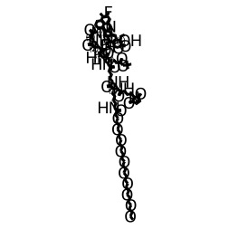 CC[C@@]1(O)C(=O)OCc2c1cc1n(c2=O)Cc2c-1nc1cc(F)c(C)c3c1c2[C@@H](NC(=O)[C@H](C)NC(=O)[C@H](C)NC(=O)[C@H](C)NC(=O)[C@H](CCC(=O)OC(C)(C)C)NC(=O)CCCNC(=O)[C@H](CCCCNC(=O)COCCOCCOCCOCCOCCOCCOCCOCCOCCOC)NC(=O)CCCN1C(=O)C=CC1=O)CC3